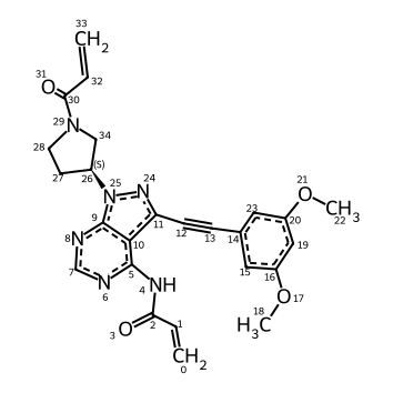 C=CC(=O)Nc1ncnc2c1c(C#Cc1cc(OC)cc(OC)c1)nn2[C@H]1CCN(C(=O)C=C)C1